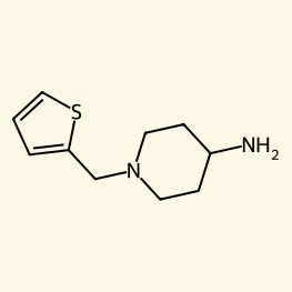 NC1CCN(Cc2cccs2)CC1